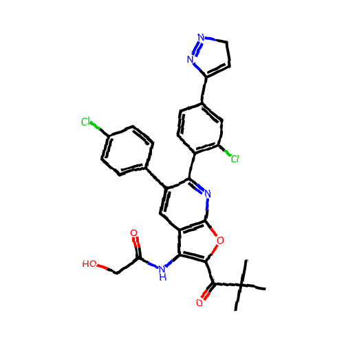 CC(C)(C)C(=O)c1oc2nc(-c3ccc(C4=CCN=N4)cc3Cl)c(-c3ccc(Cl)cc3)cc2c1NC(=O)CO